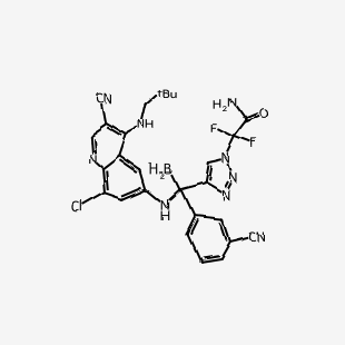 BC(Nc1cc(Cl)c2ncc(C#N)c(NCC(C)(C)C)c2c1)(c1cccc(C#N)c1)c1cn(C(F)(F)C(N)=O)nn1